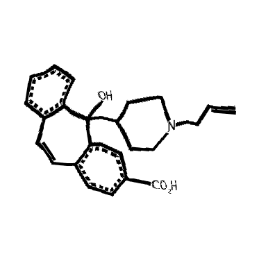 C=CCN1CCC(C2(O)c3ccccc3C=Cc3ccc(C(=O)O)cc32)CC1